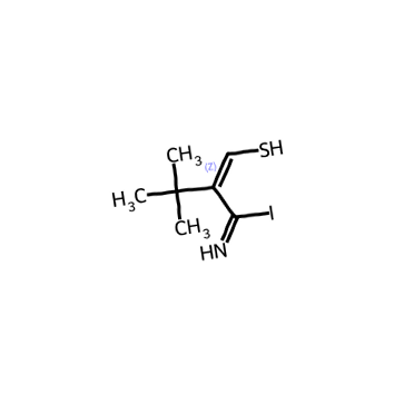 CC(C)(C)/C(=C/S)C(=N)I